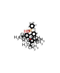 CC(C)(C)c1ccc(-c2cccc(P(O)c3ccccc3)c2-c2ccc(C(C)(C)C)cc2C(C)(C)C)c(C(C)(C)C)c1